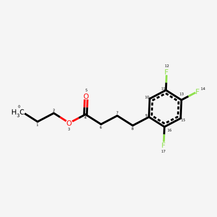 CCCOC(=O)CCCc1cc(F)c(F)cc1F